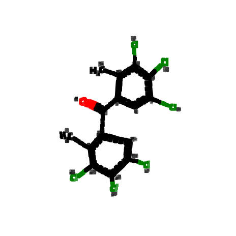 Cc1c(C(=O)c2cc(Cl)c(Cl)c(Cl)c2C)cc(Cl)c(Cl)c1Cl